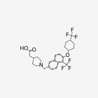 O=C(O)CC1CCN(Cc2ccc3c(C(F)(F)F)c(OC4CCC(C(F)(F)F)CC4)ccc3c2)CC1